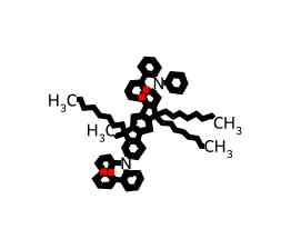 CCCCCCCCC1(CC)c2cc(N(c3ccccc3)c3ccccc3-c3ccccc3)ccc2-c2cc3c(cc21)-c1ccc(N(c2ccccc2)c2ccccc2-c2ccccc2)cc1C3(CCCCCCCC)CCCCCCCC